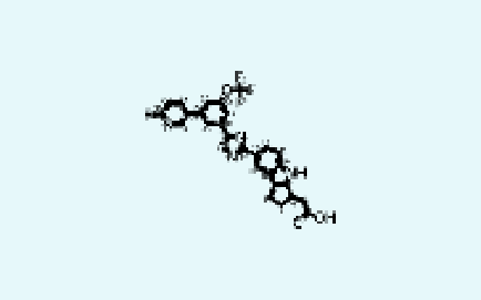 O=C(O)CC1CCc2c1[nH]c1ccc(-c3noc(-c4cc(OC(F)(F)F)cc(-c5ccc(F)nc5)c4)n3)cc21